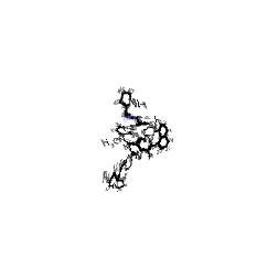 CN(c1nc(OCC23CCCN2C[C@H](F)C3)nc2c(F)c(-c3cccc4ccc(F)c(Cl)c34)ncc12)[C@@H]1CCN(C(=O)/C=C/C2CCCN2)C1